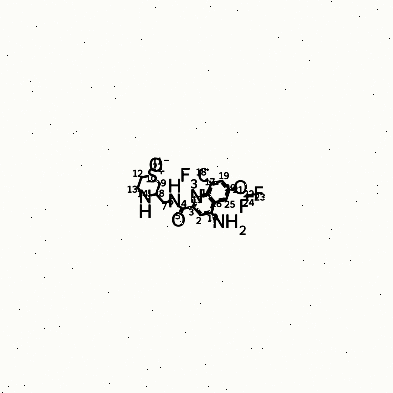 Nc1cc(C(=O)NCC2C[S+]([O-])CCN2)nc2c(C(F)(F)F)cc(OC(F)F)cc12